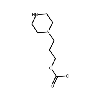 O=C(Cl)OCCCN1CCNCC1